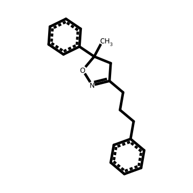 CC1(c2ccccc2)CC(CCCc2ccccc2)=NO1